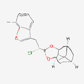 Cc1cccc2c(C[C@@H](Cl)B3OC4[C@H]5C[C@@H](C[C@H]4O3)C5(C)C)coc12